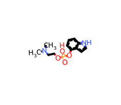 CN(C)CCOP(=O)(O)Oc1cccc2[nH]ccc12